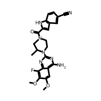 COc1cc2c(N)nc(N3CCN(C(=O)c4cc5cc(C#N)ccc5[nH]4)CC3C)nc2c(F)c1OC